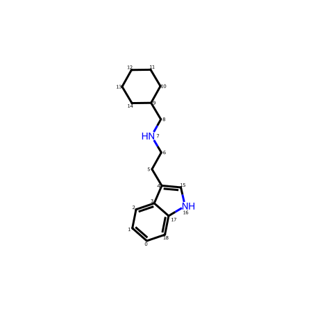 c1ccc2c(CCNCC3CCCCC3)c[nH]c2c1